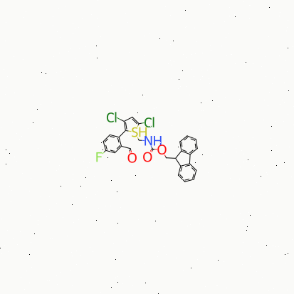 O=Cc1cc(F)ccc1C1=C(Cl)C=C(Cl)[SH]1CNC(=O)OCC1c2ccccc2-c2ccccc21